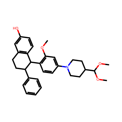 COc1cc(N2CCC(C(OC)OC)CC2)ccc1C1c2ccc(O)cc2CCC1c1ccccc1